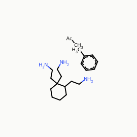 CC(C)=O.Cc1ccccc1.NCCC1CCCCC1(CCN)CCN